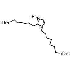 CCCCCCCCCCCCCCCCCN1C=CN(C(C)C)C1CCCCCCCCCCCCCCCC